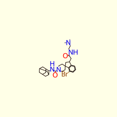 CN(C)CCNC(=O)CC1CC2(CCN(C(=O)NC3C4CC5CC(C4)CC3C5)CC2)c2c(Br)cccc21